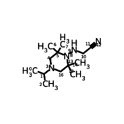 CC(C)N1CC(C)(C)N(NCC#N)C(C)(C)C1